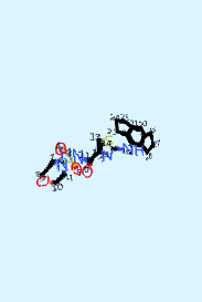 O=C(NS(=O)(=O)N1CCOCC1)c1csc(Nc2c3c(cc4c2CCC4)CCC3)n1